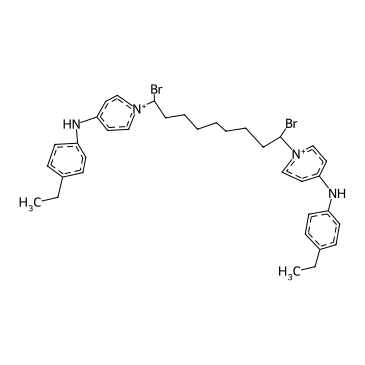 CCc1ccc(Nc2cc[n+](C(Br)CCCCCCCC(Br)[n+]3ccc(Nc4ccc(CC)cc4)cc3)cc2)cc1